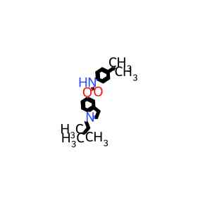 CC(C)c1ccc(NC(=O)Oc2ccc3c(c2)CCN3CCC(C)(C)C)cc1